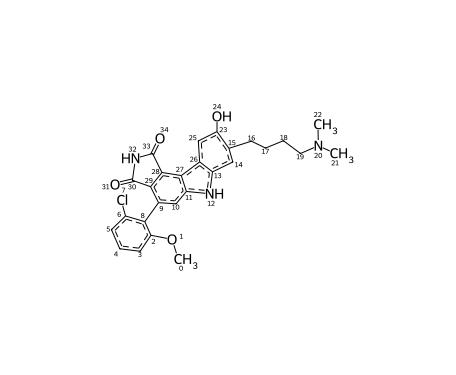 COc1cccc(Cl)c1-c1cc2[nH]c3cc(CCCCN(C)C)c(O)cc3c2c2c1C(=O)NC2=O